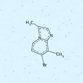 Cc1c(Br)ccn2c(C)cnc12